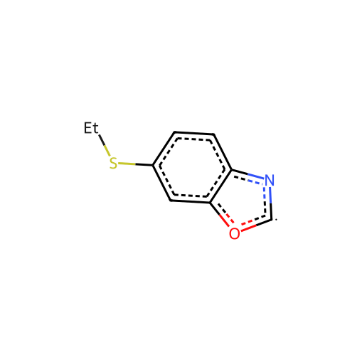 CCSc1ccc2n[c]oc2c1